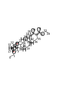 CCOC[C@@]1(O)CC[C@@]2(CO[Si](C)(C)C(C)(C)C)[C@H](CC[C@@H]3[C@@H]2CC[C@]2(C)C(=O)C(C(=O)OCC)CC[C@@H]32)C1